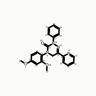 COc1ccc(N2CC(c3ccccn3)=NN(c3ccccc3)C2=O)c(OC)c1